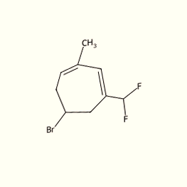 CC1=CCC(Br)CC(C(F)F)=C1